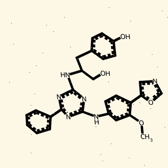 COc1cc(Nc2nc(NC(CO)Cc3ccc(O)cc3)nc(-c3ccccc3)n2)ccc1-c1cnco1